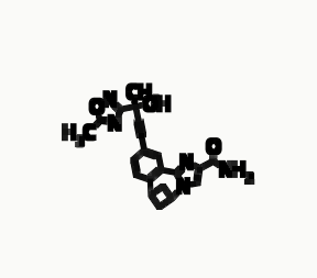 Cc1nc([C@](C)(O)C#Cc2ccc3c(c2)-c2nc(C(N)=O)cn2C2CC3C2)no1